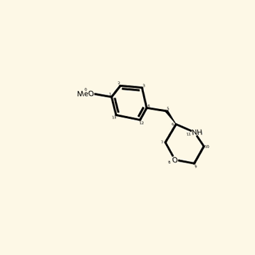 COc1ccc(C[C@@H]2COCCN2)cc1